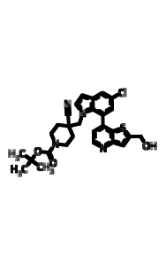 CC(C)(C)OC(=O)N1CCC(C#N)(Cn2ccc3cc(Cl)cc(-c4ccnc5cc(CO)sc45)c32)CC1